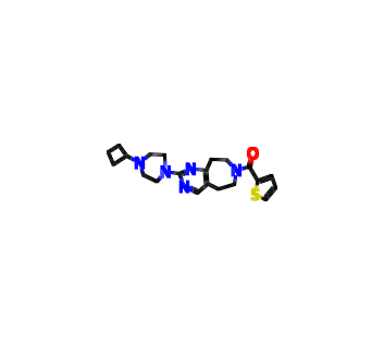 O=C(c1cccs1)N1CCc2cnc(N3CCN(C4CCC4)CC3)nc2CC1